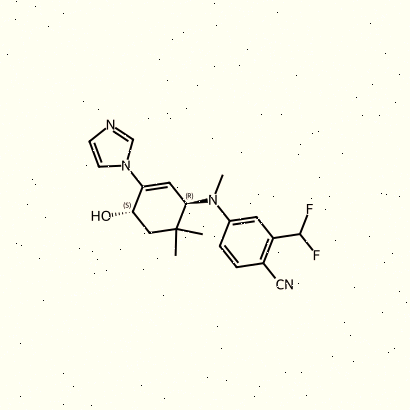 CN(c1ccc(C#N)c(C(F)F)c1)[C@@H]1C=C(n2ccnc2)[C@@H](O)CC1(C)C